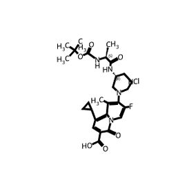 Cc1c(N2CCC[C@@H](NC(=O)[C@H](C)NC(=O)OC(C)(C)C)C2)c(F)cn2c(=O)c(C(=O)O)cc(C3CC3)c12.Cl